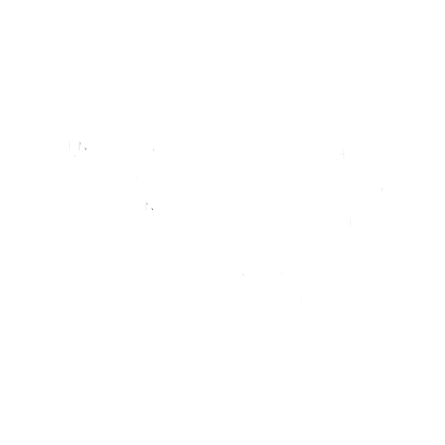 NCC(=O)Nc1ccc2c(CP(=O)(O)O)cc(=O)oc2c1